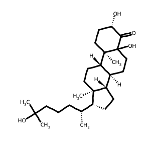 C[C@H](CCCC(C)(C)O)[C@H]1CC[C@H]2[C@@H]3CCC4(O)C(=O)[C@@H](O)CC[C@]4(C)[C@H]3CC[C@]12C